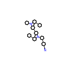 N#Cc1ccc(-c2cccc(-n3c4ccc(-c5ccc6c(c5)c5c(-c7ccccc7)cccc5n6-c5ccccc5)cc4c4c(-c5ccccc5)cccc43)c2)cc1